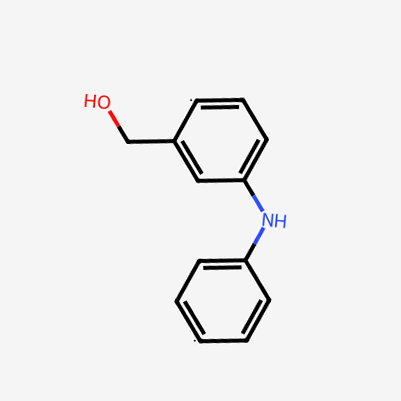 OCc1[c]ccc(Nc2cc[c]cc2)c1